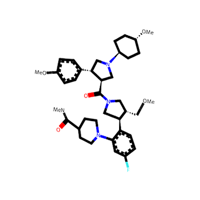 CNC(=O)C1CCN(c2cc(F)ccc2[C@H]2CN(C(=O)[C@@H]3CN([C@H]4CC[C@H](OC)CC4)C[C@H]3c3ccc(OC)cc3)C[C@@H]2COC)CC1